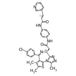 Cc1sc2c(c1C)C(c1ccc(Cl)cc1)=N[C@@H](CC(=O)Nc1ccc(NC(=O)/C=C/c3cccnc3)cc1)c1nnc(C)n1-2